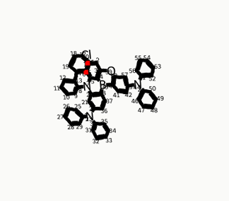 Clc1cc2c3c(c1)N(c1ccccc1-c1ccccc1)c1cc(N(c4ccccc4)c4ccccc4)ccc1B3c1ccc(N(c3ccccc3)c3ccccc3)cc1O2